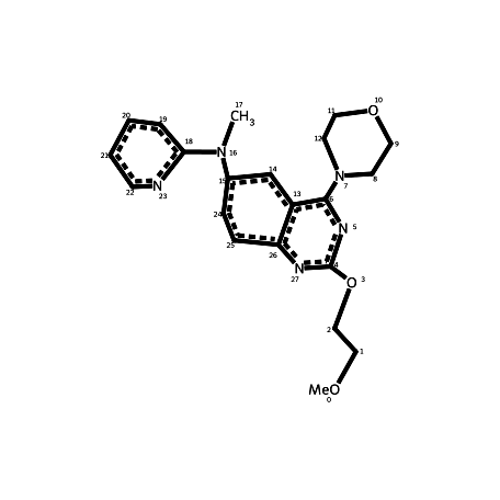 COCCOc1nc(N2CCOCC2)c2cc(N(C)c3ccccn3)ccc2n1